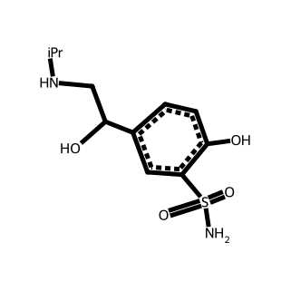 CC(C)NCC(O)c1ccc(O)c(S(N)(=O)=O)c1